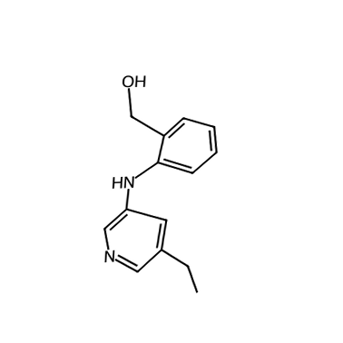 CCc1cncc(Nc2ccccc2CO)c1